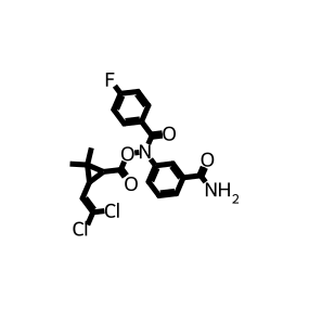 CC1(C)C(C=C(Cl)Cl)C1C(=O)ON(C(=O)c1ccc(F)cc1)c1cccc(C(N)=O)c1